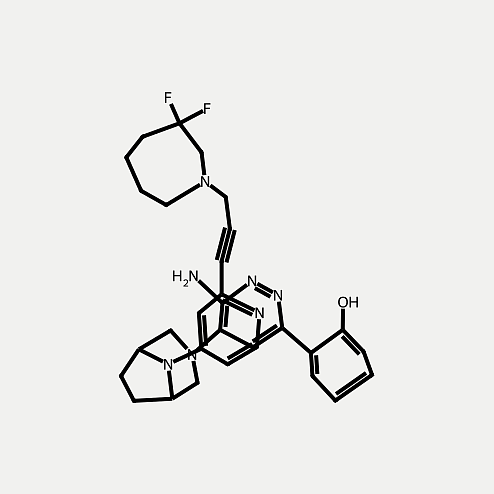 Nc1nnc(-c2ccccc2O)cc1N1CC2CCC(C1)N2c1ccnc(C#CCN2CCCCC(F)(F)C2)c1